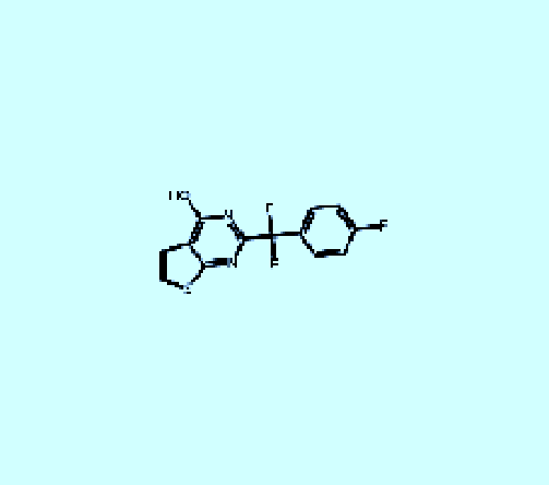 Oc1nc(C(F)(F)c2ccc(F)cc2)nc2sccc12